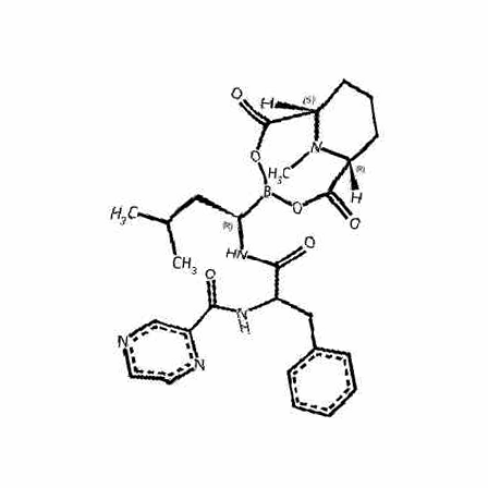 CC(C)C[C@H](NC(=O)C(Cc1ccccc1)NC(=O)c1cnccn1)B1OC(=O)[C@H]2CCC[C@@H](C(=O)O1)N2C